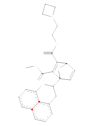 COC(=O)C1=C(C(=O)NCCN2CCC2)C2C=CC1(C(Cc1ccccc1)Nc1ccccc1)O2